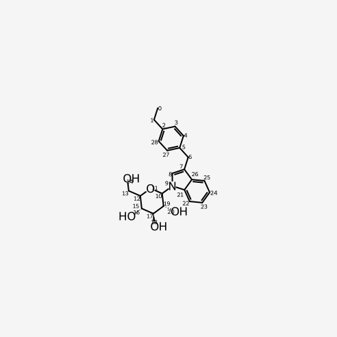 CCc1ccc(Cc2cn(C3OC(CO)[C@@H](O)[C@H](O)[C@H]3O)c3ccccc23)cc1